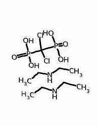 CCNCC.CCNCC.O=P(O)(O)C(Cl)(Cl)P(=O)(O)O